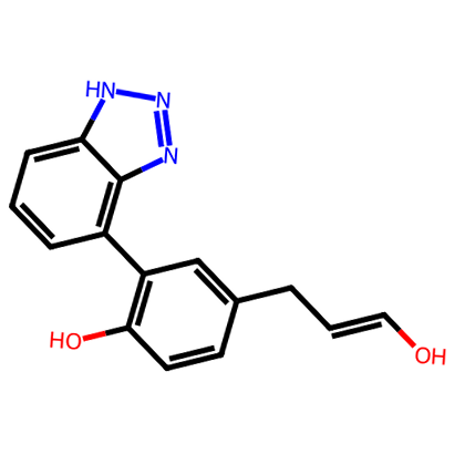 OC=CCc1ccc(O)c(-c2cccc3[nH]nnc23)c1